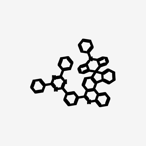 c1ccc(-c2nc(-c3ccccc3)nc(-c3cccc(-c4nc5ccccc5c5c6c(ccc45)C4(c5ccccc5-6)c5ccccc5N(c5ccccc5)c5ccccc54)c3)n2)cc1